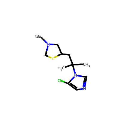 CC(C)(C)N1CSC(CC(C)(C)n2cncc2Cl)C1